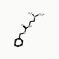 CN(CCNC(=O)OCc1ccccc1)C(=O)O